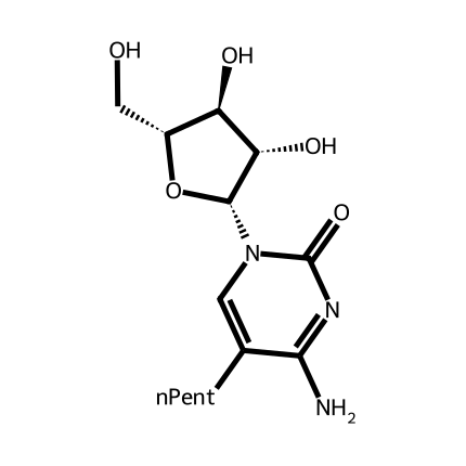 CCCCCc1cn([C@@H]2O[C@H](CO)[C@@H](O)[C@@H]2O)c(=O)nc1N